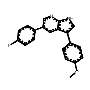 COc1ccc(-c2c[nH]c3ncc(-c4ccc(F)cc4)cc23)cc1